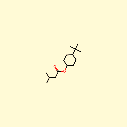 CC(C)CC(=O)OC1CCC(C(C)(C)C)CC1